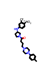 Cc1ccc(N2CCN(CCCC(=O)N3CC[C@@H](Nc4ccc([N+](=O)[O-])c(C(F)(F)F)c4)C3)CC2)cc1